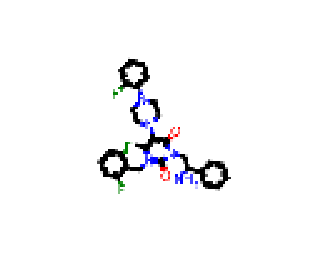 Cc1c(N2CCN(c3ccccc3F)CC2)c(=O)n(CC(N)c2ccccc2)c(=O)n1Cc1c(F)cccc1F